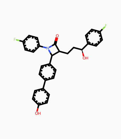 O=C1C(CC[C@H](O)c2ccc(F)cc2)C(c2ccc(-c3ccc(O)cc3)cc2)N1c1ccc(F)cc1